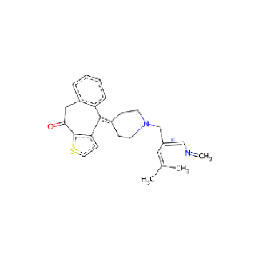 C=N/C=C(\C=C(C)C)CN1CCC(=C2c3ccccc3CC(=O)c3sccc32)CC1